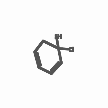 SC1(Cl)C=CC=CC1